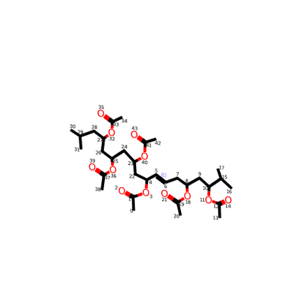 CC(=O)OC(/C=C/CC(CC(OC(C)=O)C(C)C)OC(C)=O)CC(CC(CC(CC(C)C)OC(C)=O)OC(C)=O)OC(C)=O